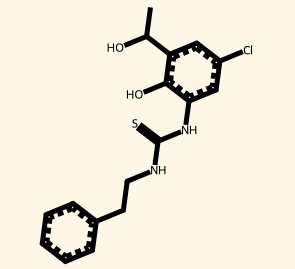 CC(O)c1cc(Cl)cc(NC(=S)NCCc2ccccc2)c1O